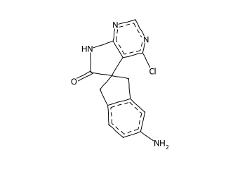 Nc1ccc2c(c1)CC1(C2)C(=O)Nc2ncnc(Cl)c21